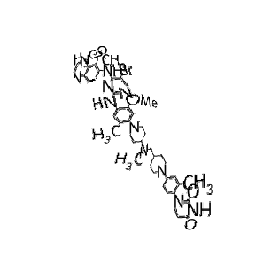 COc1cc(N2CCC(N(C)CC3CCN(c4ccc(-n5ccc(=O)[nH]c5=O)c(C)c4)CC3)CC2)c(C)cc1Nc1ncc(Br)c(Nc2ccc3nccnc3c2P(C)(C)=O)n1